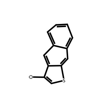 [O]c1csc2cc3ccccc3cc12